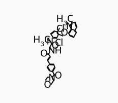 Cc1ccc2cccc(OCc3c(Cl)ccc(N(C)C(=O)CNC(=O)C=Cc4ccc(C(=O)N5CCOCC5)cc4)c3Cl)c2n1